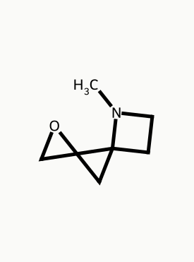 CN1CCC12CC21CO1